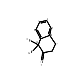 O=C1CCc2ccccc2C1(F)F